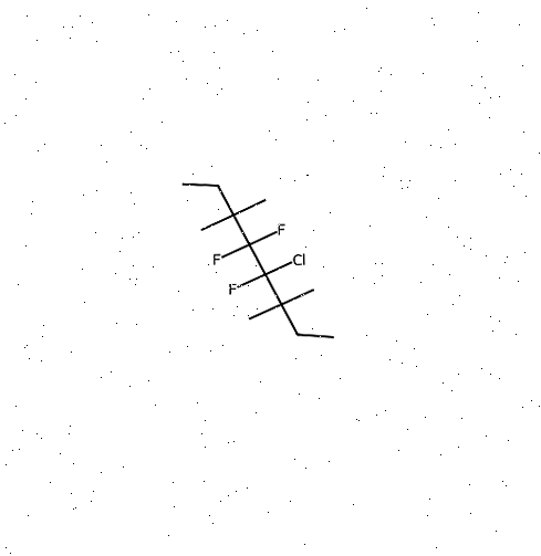 CCC(C)(C)C(F)(F)C(F)(Cl)C(C)(C)CC